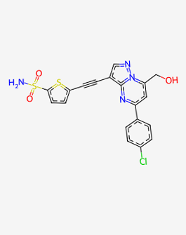 NS(=O)(=O)c1ccc(C#Cc2cnn3c(CO)cc(-c4ccc(Cl)cc4)nc23)s1